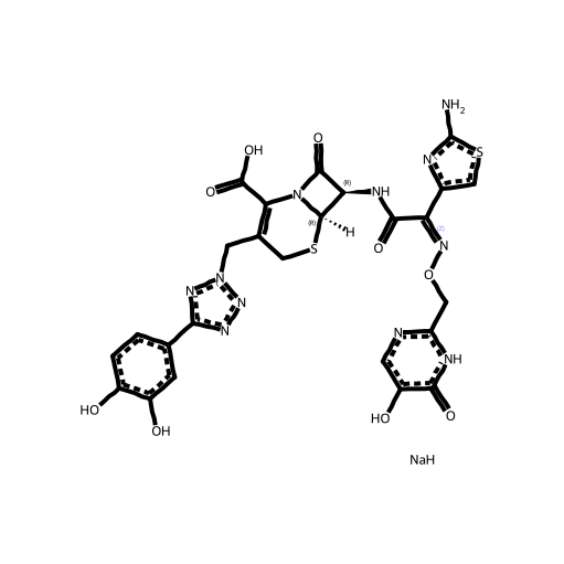 Nc1nc(/C(=N/OCc2ncc(O)c(=O)[nH]2)C(=O)N[C@@H]2C(=O)N3C(C(=O)O)=C(Cn4nnc(-c5ccc(O)c(O)c5)n4)CS[C@H]23)cs1.[NaH]